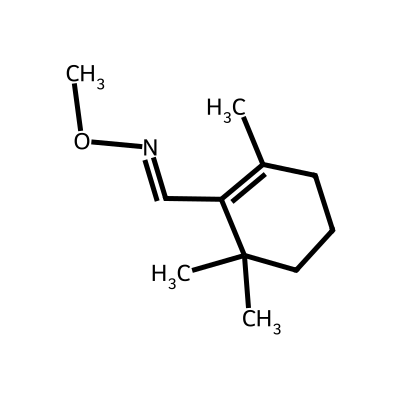 CON=CC1=C(C)CCCC1(C)C